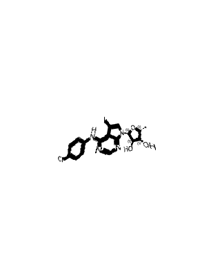 C[C@H]1O[C@@H](n2cc(I)c3c(Nc4ccc(Cl)cc4)ncnc32)[C@H](O)[C@@H]1O